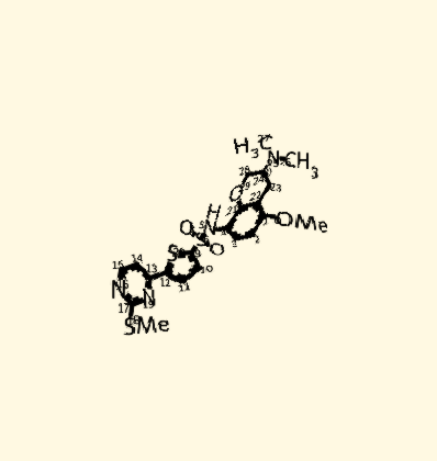 COc1ccc(NS(=O)(=O)c2ccc(-c3ccnc(SC)n3)s2)c2c1C[C@@H](N(C)C)CO2